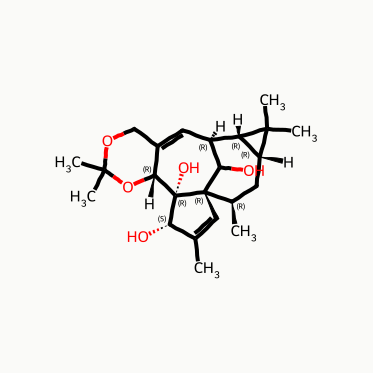 CC1=C[C@]23C(O)[C@@H](C=C4COC(C)(C)O[C@H]4[C@]2(O)[C@H]1O)[C@H]1[C@@H](C[C@H]3C)C1(C)C